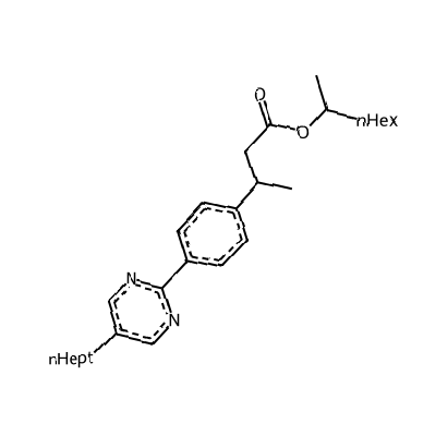 CCCCCCCc1cnc(-c2ccc(C(C)CC(=O)OC(C)CCCCCC)cc2)nc1